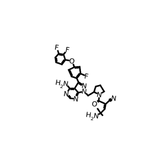 CC(C)(N)/C=C(/C#N)C(=O)N1CCCC1Cn1nc(-c2ccc(Oc3cccc(F)c3F)cc2F)c2c(N)ncnc21